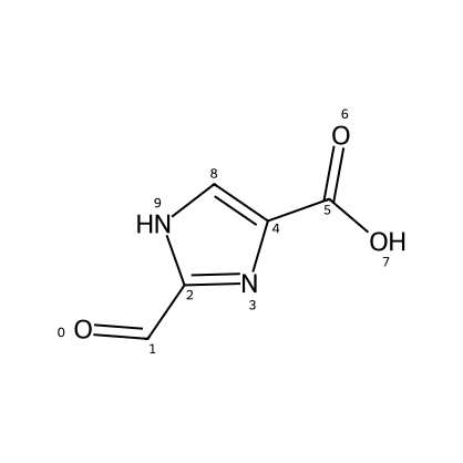 O=Cc1nc(C(=O)O)c[nH]1